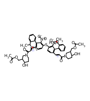 CC(=O)OCC1CN(C(=O)/C=C/c2ccc(Sc3ccc(/C=C/C(=O)N4CCC(O)C(COC(C)=O)C4)c(-c4ccccc4C(C)C)c3[N+](=O)[O-])c([N+](=O)[O-])c2-c2ccccc2C(C)C)CCC1O